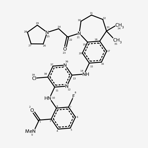 CNC(=O)c1cccc(F)c1Nc1nc(Nc2ccc3c(c2)N(C(=O)CN2CCCC2)CCCC3(C)C)ncc1Cl